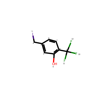 Oc1cc(CI)ccc1C(F)(F)F